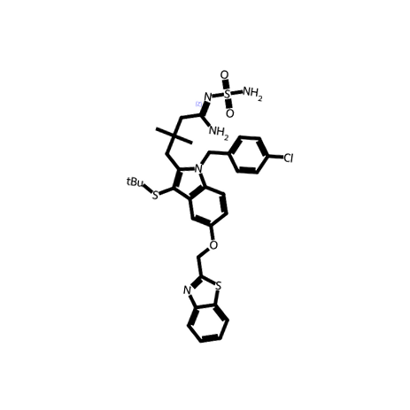 CC(C)(C/C(N)=N/S(N)(=O)=O)Cc1c(SC(C)(C)C)c2cc(OCc3nc4ccccc4s3)ccc2n1Cc1ccc(Cl)cc1